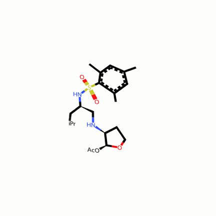 CC(=O)O[C@@H]1OCC[C@@H]1NC[C@@H](CC(C)C)NS(=O)(=O)c1c(C)cc(C)cc1C